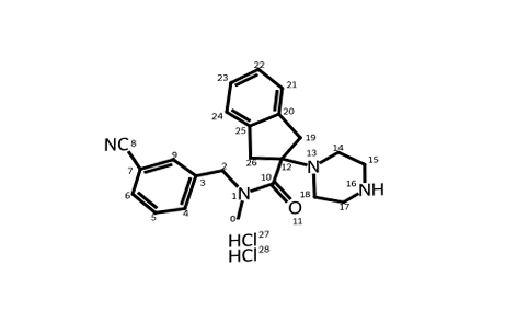 CN(Cc1cccc(C#N)c1)C(=O)C1(N2CCNCC2)Cc2ccccc2C1.Cl.Cl